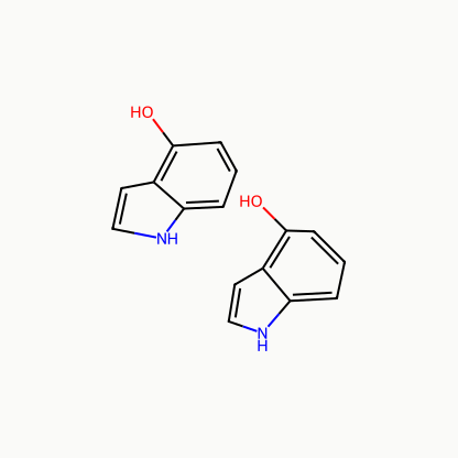 Oc1cccc2[nH]ccc12.Oc1cccc2[nH]ccc12